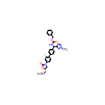 CC(=O)NC[C@H]1CN(c2ccc(-c3ccc(C(NC(=O)OCc4ccccc4)c4nnn(C)n4)cc3)c(F)c2)C(=O)O1